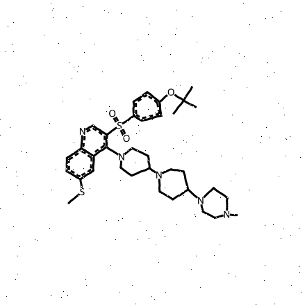 CSc1ccc2ncc(S(=O)(=O)c3ccc(OC(C)(C)C)cc3)c(N3CCC(N4CCC(N5CCN(C)CC5)CC4)CC3)c2c1